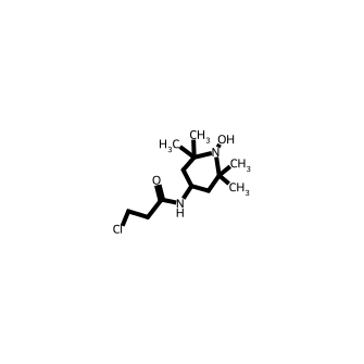 CC1(C)CC(NC(=O)CCCl)CC(C)(C)N1O